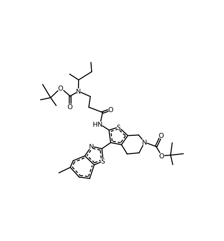 CCC(C)N(CCC(=O)Nc1sc2c(c1-c1nc3cc(C)ccc3s1)CCN(C(=O)OC(C)(C)C)C2)C(=O)OC(C)(C)C